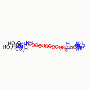 N/C(=C\NCCCC[C@H](NC(=O)N[C@@H](CCC(=O)O)C(=O)O)C(=O)O)COCCOCCOCCOCCOCCOCCOCCOCCOCCOCCOCCC(=O)NCc1ccc(COc2nc(N)nc3[nH]cnc23)cc1